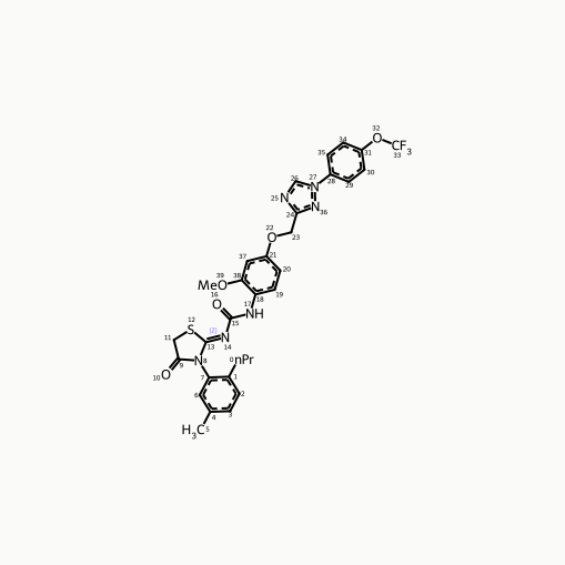 CCCc1ccc(C)cc1N1C(=O)CS/C1=N\C(=O)Nc1ccc(OCc2ncn(-c3ccc(OC(F)(F)F)cc3)n2)cc1OC